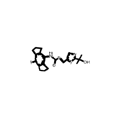 CC(C)(O)c1ncc(C=NC(=O)Nc2c3c(c(F)c4c2CCC4)CCC3)s1